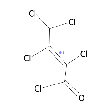 O=C(Cl)/C(Cl)=C(\Cl)C(Cl)Cl